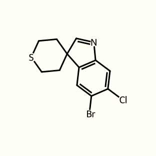 Clc1cc2c(cc1Br)C1(C=N2)CCSCC1